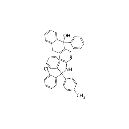 Cc1ccc(C(Nc2ccc3c(c2)Cc2ccccc2C3(O)c2ccccc2)(c2ccccc2)c2ccccc2Cl)cc1